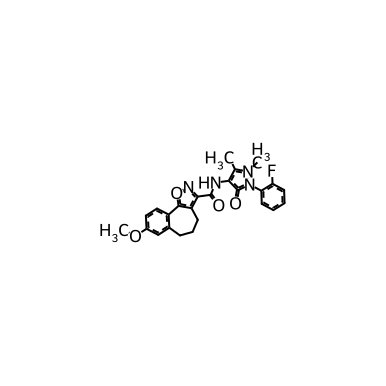 COc1ccc2c(c1)CCCc1c(C(=O)Nc3c(C)n(C)n(-c4ccccc4F)c3=O)noc1-2